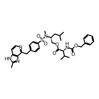 Cc1nc2c(Cc3ccc(S(=O)(=O)N(C)[C@H](COC(=O)[C@@H](NC(=O)OCc4ccccc4)C(C)C)CC(C)C)cc3)nccc2[nH]1